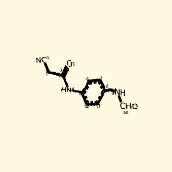 N#CCC(=O)Nc1ccc(NC=O)cc1